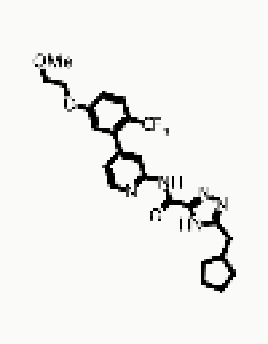 COCCOc1ccc(C(F)(F)F)c(-c2ccnc(NC(=O)c3nnc(CC4CCCC4)[nH]3)c2)c1